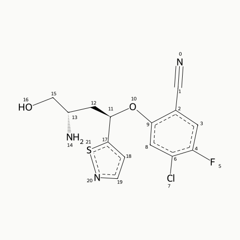 N#Cc1cc(F)c(Cl)cc1O[C@H](C[C@H](N)CO)c1ccns1